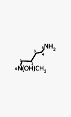 CN(O)CCCCN